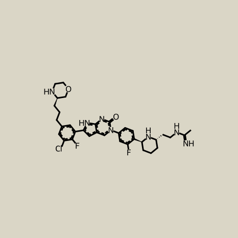 CC(=N)NCC[C@@H]1CCC[C@@H](c2ccc(-n3cc4cc(-c5cc(CCC[C@@H]6COCCN6)cc(Cl)c5F)[nH]c4nc3=O)cc2F)N1